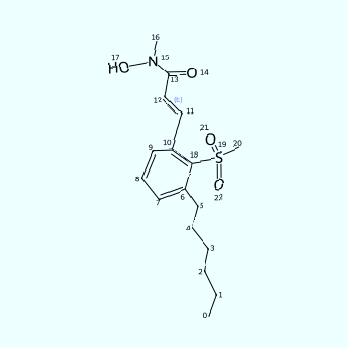 CCCCCCc1cccc(/C=C/C(=O)N(C)O)c1S(C)(=O)=O